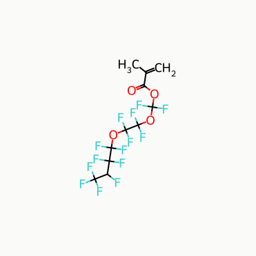 C=C(C)C(=O)OC(F)(F)OC(F)(F)C(F)(F)OC(F)(F)C(F)(F)C(F)C(F)(F)F